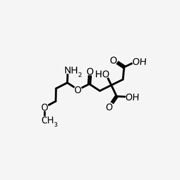 COCCC(N)OC(=O)CC(O)(CC(=O)O)C(=O)O